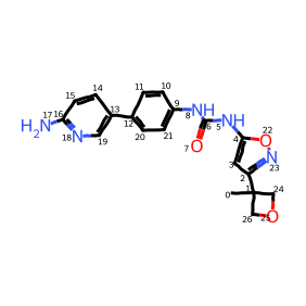 CC1(c2cc(NC(=O)Nc3ccc(-c4ccc(N)nc4)cc3)on2)COC1